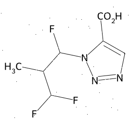 CC(C(F)F)C(F)n1nncc1C(=O)O